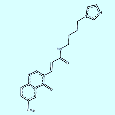 COc1ccc2ncn(/C=C/C(=O)NCCCCn3ccnc3)c(=O)c2c1